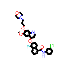 COc1cc2c(Oc3ccc4c(C(=O)Nc5cccc(Cl)c5)cccc4c3F)ccnc2cc1OCCCN1CCOCC1